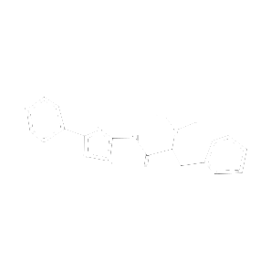 CN(C)C(Cc1ccccc1)C(=O)Nc1nnc(-c2ccncc2)[nH]1